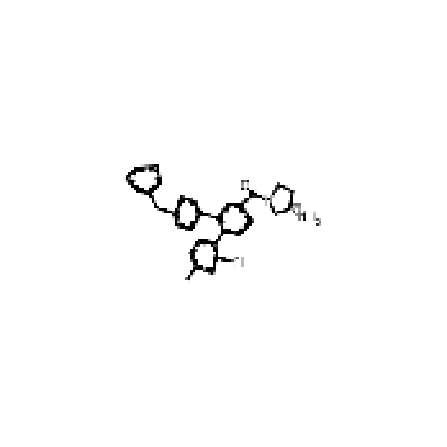 Cc1ccc(-c2ccc(C(=O)N3CC[C@H](N)C3)cc2-c2ccc(Cc3ccccc3)cc2)c(Cl)c1